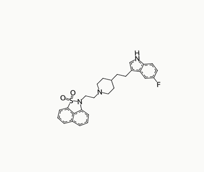 O=S1(=O)c2cccc3cccc(c23)N1CCN1CCC(CCc2c[nH]c3ccc(F)cc23)CC1